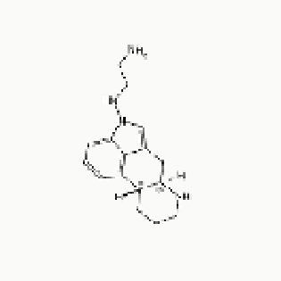 NCCNn1cc2c3c(cccc31)[C@H]1CCCN[C@@H]1C2